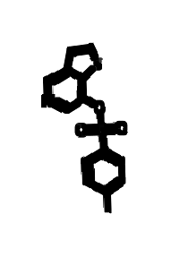 Cc1ccc(S(=O)(=O)Oc2cncc3ccsc23)cc1